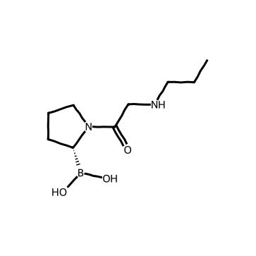 CCCNCC(=O)N1CCC[C@H]1B(O)O